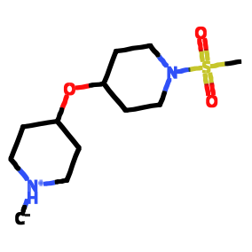 [CH2-][NH+]1CCC(OC2CCN(S(C)(=O)=O)CC2)CC1